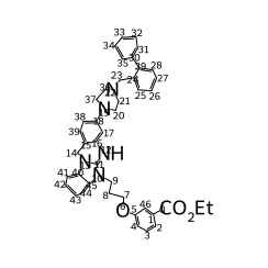 CCOC(=O)c1cccc(OCCCn2c(=N)n(Cc3ccc(N4CCN(Cc5ccccc5-c5ccccc5)CC4)cc3)c3ccccc32)c1